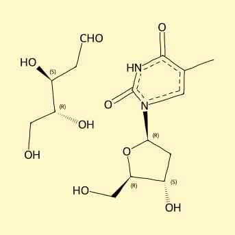 Cc1cn([C@H]2C[C@H](O)[C@@H](CO)O2)c(=O)[nH]c1=O.O=CC[C@H](O)[C@H](O)CO